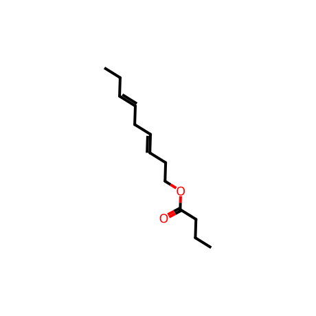 CCC=CCC=CCCOC(=O)CCC